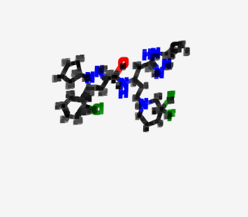 O=C(NC(CCN1CCCC(F)(F)C1)Cc1nnc(C(F)(F)F)[nH]1)c1cc(-c2ccccc2Cl)n(C2CCCC2)n1